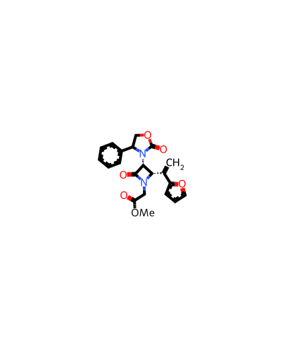 C=C(c1ccco1)[C@H]1[C@@H](N2C(=O)OCC2c2ccccc2)C(=O)N1CC(=O)OC